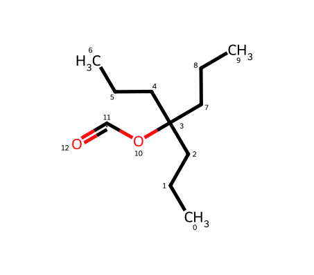 CCCC(CCC)(CCC)O[C]=O